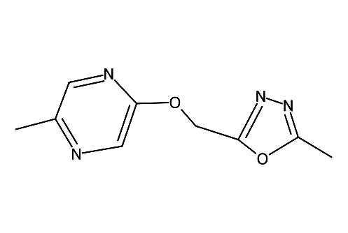 Cc1cnc(OCc2nnc(C)o2)cn1